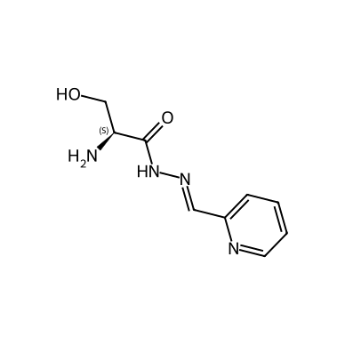 N[C@@H](CO)C(=O)NN=Cc1ccccn1